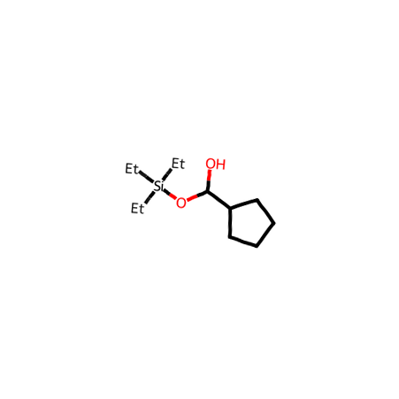 CC[Si](CC)(CC)OC(O)C1CCCC1